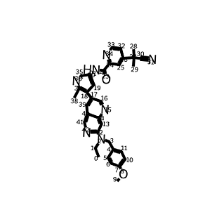 CCN(Cc1ccc(OC)cc1)c1cc2ncc(-c3cc(NC(=O)c4cc(C(C)(C)C#N)ccn4)cnc3C)cc2cn1